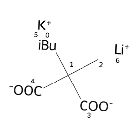 CCC(C)C(C)(C(=O)[O-])C(=O)[O-].[K+].[Li+]